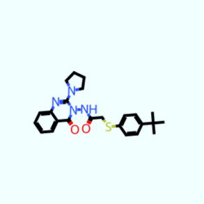 CC(C)(C)c1ccc(SCC(=O)Nn2c(N3CCCC3)nc3ccccc3c2=O)cc1